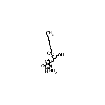 CCCCCCCCCC(=O)OCC(CCO)Cn1cnc2c(=O)[nH]c(N)nc21